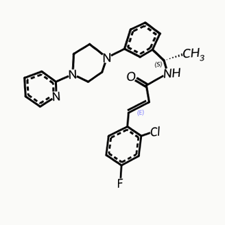 C[C@H](NC(=O)/C=C/c1ccc(F)cc1Cl)c1cccc(N2CCN(c3ccccn3)CC2)c1